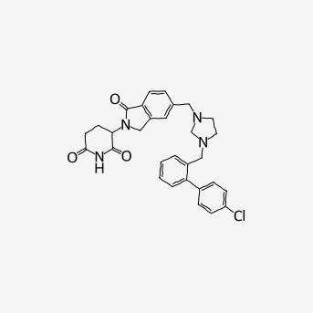 O=C1CCC(N2Cc3cc(CN4CCN(Cc5ccccc5-c5ccc(Cl)cc5)C4)ccc3C2=O)C(=O)N1